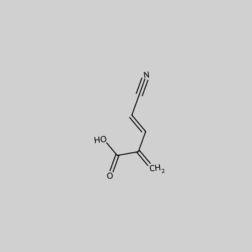 C=C(C=CC#N)C(=O)O